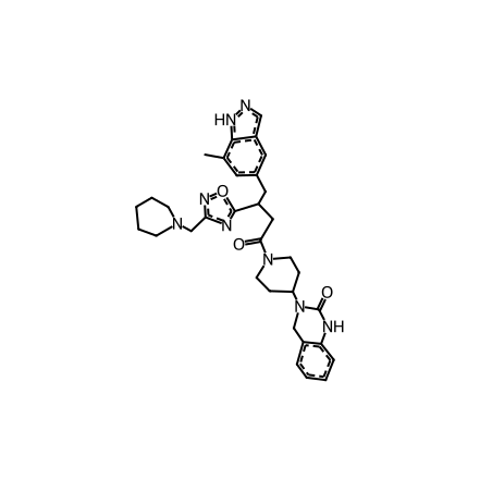 Cc1cc(CC(CC(=O)N2CCC(N3Cc4ccccc4NC3=O)CC2)c2nc(CN3CCCCC3)no2)cc2cn[nH]c12